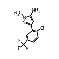 Cn1nc(-c2cc(C(F)(F)F)ccc2Cl)cc1N